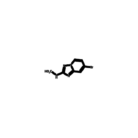 O=C(O)Nc1nc2cc(Br)ccn2n1